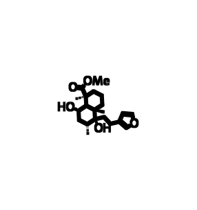 COC(=O)[C@@]1(C)CCC[C@@]2(C)C1[C@H](O)C[C@@H](C)[C@]2(O)CCc1ccoc1